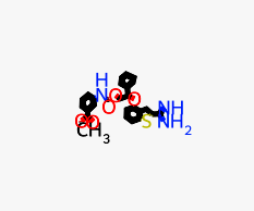 COC(=O)c1cccc(NC(=O)OCC(Oc2cccc3c2CC(C(=N)N)S3)c2ccccc2)c1